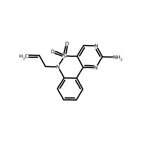 C=CCN1c2ccccc2-c2nc(N)ncc2S1(=O)=O